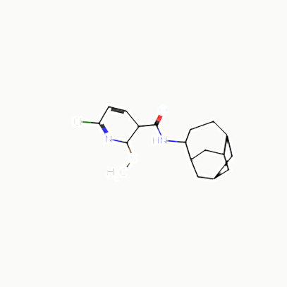 CSC1N=C(Cl)C=CC1C(=O)NC1CCC2CC3CC2CC1C3